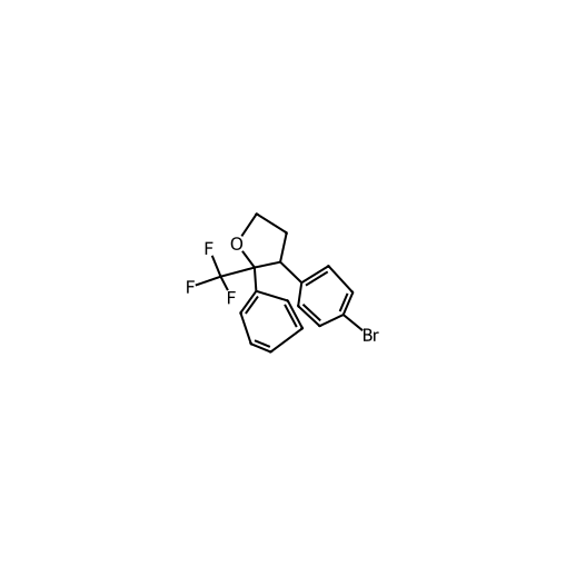 FC(F)(F)C1(c2ccccc2)OCCC1c1ccc(Br)cc1